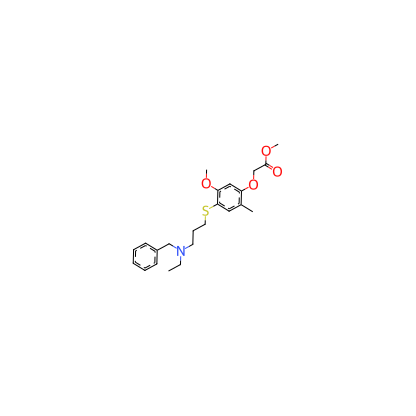 CCN(CCCSc1cc(C)c(OCC(=O)OC)cc1OC)Cc1ccccc1